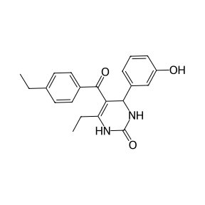 CCC1=C(C(=O)c2ccc(CC)cc2)C(c2cccc(O)c2)NC(=O)N1